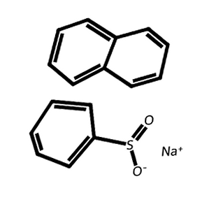 O=S([O-])c1ccccc1.[Na+].c1ccc2ccccc2c1